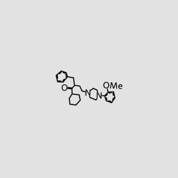 COc1ccccc1N1CCN(CCC(Cc2ccccc2)C(=O)C2CCCCC2)CC1